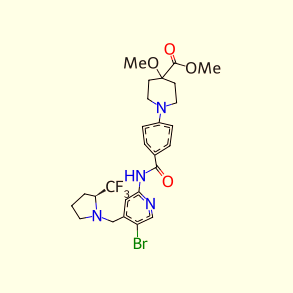 COC(=O)C1(OC)CCN(c2ccc(C(=O)Nc3cc(CN4CCC[C@H]4C(F)(F)F)c(Br)cn3)cc2)CC1